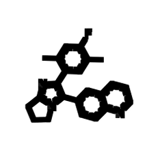 Cc1cc(-c2nc3n(c2-c2ccc4ncccc4c2)CCC3)c(C)cc1F